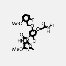 CCNC(=O)COc1cc(Cl)c(-n2c(=O)[nH]c3c(OC)nc(C)nc32)cc1OCc1c(F)cccc1OC